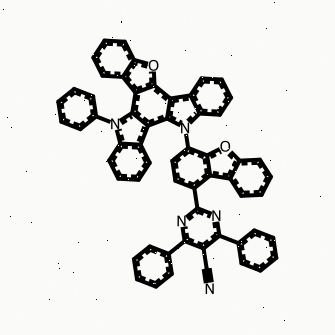 N#Cc1c(-c2ccccc2)nc(-c2ccc(-n3c4ccccc4c4c5oc6ccccc6c5c5c(c6ccccc6n5-c5ccccc5)c43)c3oc4ccccc4c23)nc1-c1ccccc1